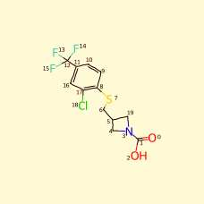 O=C(O)N1CC(CSc2ccc(C(F)(F)F)cc2Cl)C1